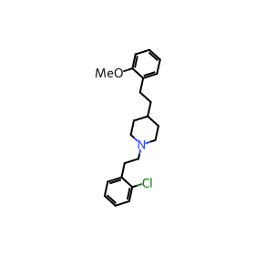 COc1ccccc1CCC1CCN(CCc2ccccc2Cl)CC1